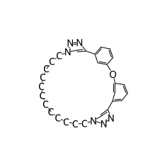 c1cc2cc(c1)-c1cn(nn1)CCCCCCCCCCCCn1cc(nn1)-c1cccc(c1)O2